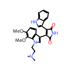 COc1ccc2c(C3=C(c4c[nH]c5ccccc45)C(=O)NC3=O)cn(CCN(C)C)c2c1OC